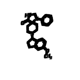 COc1ccc2c(c1)CCC2N1CCC2(CC1)C(=O)NCN2c1ccccc1